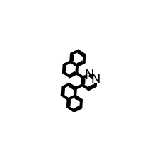 c1ccc2c(-c3ccnnc3-c3cccc4ccccc34)cccc2c1